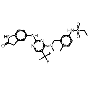 CCS(=O)(=O)Nc1ccc(C)c(CN(C)c2nc(Nc3ccc4c(c3)CC(=O)N4)ncc2C(F)(F)F)c1